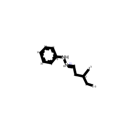 ICC(I)C/C=N/Nc1ccccc1